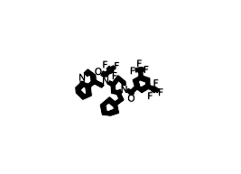 O=C(c1cc(C(F)(F)F)cc(C(F)(F)F)c1)N1CCC(N(Cc2ccnc3ccccc23)C(=O)C(F)(F)F)CC1Cc1ccccc1